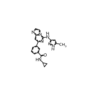 Cc1cc(Nc2nc(-c3cccc(C(=O)NC4CC4)c3)cc3nccn23)n[nH]1